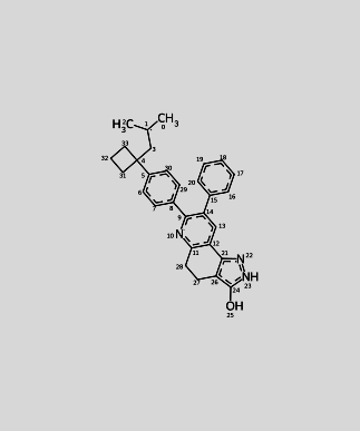 C[C](C)CC1(c2ccc(-c3nc4c(cc3-c3ccccc3)-c3n[nH]c(O)c3CC4)cc2)CCC1